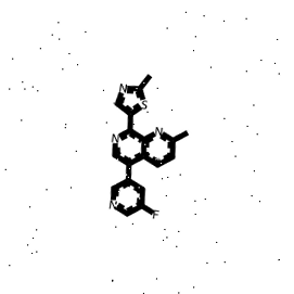 Cc1ccc2c(-c3cncc(F)c3)cnc(-c3[c]nc(C)s3)c2n1